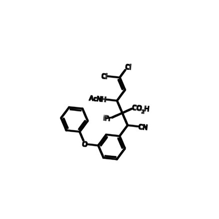 CC(=O)NC(C=C(Cl)Cl)C(C(=O)O)(C(C)C)C(C#N)c1cccc(Oc2ccccc2)c1